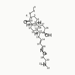 CCC[C@@]1(C)CC[C@H]2[C@@H](CC[C@@H]3C(C/C=C/C=N/OCCN(C)C)[C@@H](O)CC[C@@]32C)C1=O